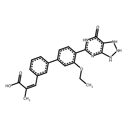 CCOc1cc(-c2cccc(/C=C(/C)C(=O)O)c2)ccc1-c1nc2c(c(=O)[nH]1)NNN2